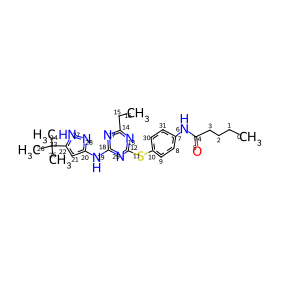 CCCCC(=O)Nc1ccc(Sc2nc(CC)nc(Nc3cc(C(C)(C)C)[nH]n3)n2)cc1